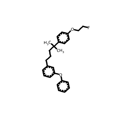 CC(C)(CCCc1cccc(Oc2ccccc2)c1)c1ccc(OCCF)cc1